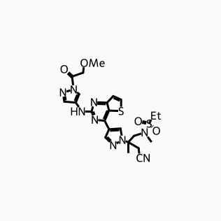 CCS(=O)(=O)N(C)CC(C)(CC#N)n1cc(-c2nc(Nc3cnn(C(=O)COC)c3)nc3ccsc23)cn1